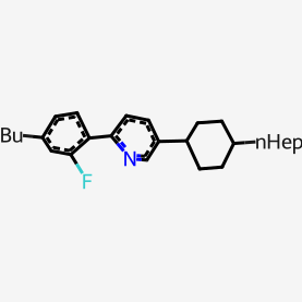 CCCCCCCC1CCC(c2ccc(-c3ccc(CCCC)cc3F)nc2)CC1